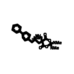 CNC1(NC)OC(=O)C(C[C@H](N)Cc2ccc(-c3ccccc3)cc2)(NC)C(=O)O1